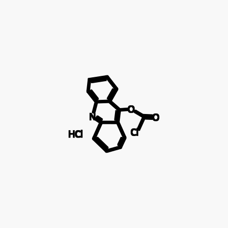 Cl.O=C(Cl)Oc1c2ccccc2nc2ccccc12